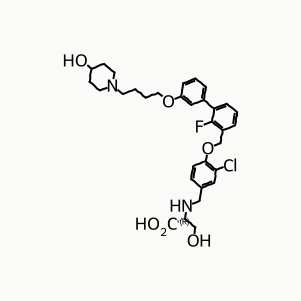 O=C(O)[C@@H](CO)NCc1ccc(OCc2cccc(-c3cccc(OCCCCN4CCC(O)CC4)c3)c2F)c(Cl)c1